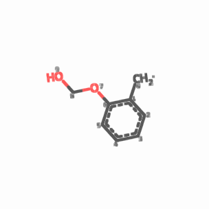 [CH2]c1ccccc1OCO